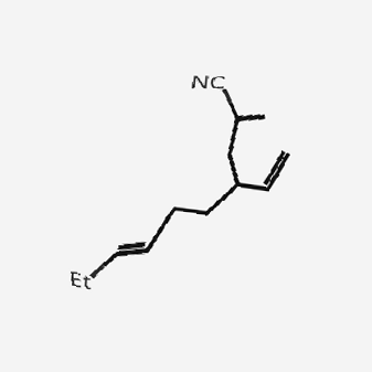 C=CC(CCC=CCC)CC(C)C#N